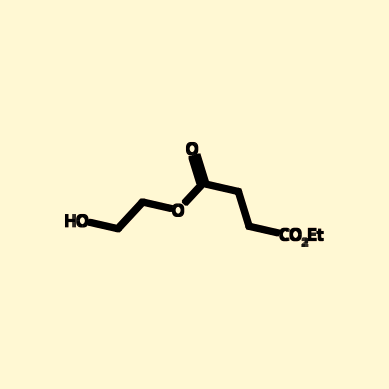 CCOC(=O)CCC(=O)OCCO